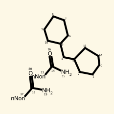 C1CCC(CC2CCCCC2)CC1.CCCCCCCCCC(N)=O.CCCCCCCCCC(N)=O